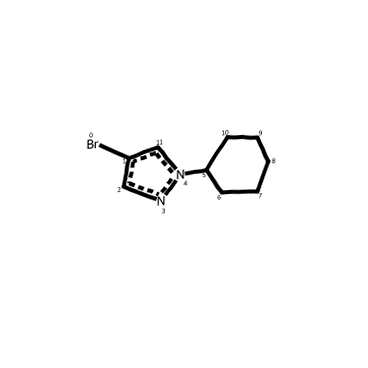 Brc1cnn(C2CCCCC2)c1